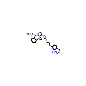 O=C(O)[C@@H](c1ccccc1C1CC1)N1CC[C@H](OCCCCCc2ccc3c(n2)NCCC3)C1